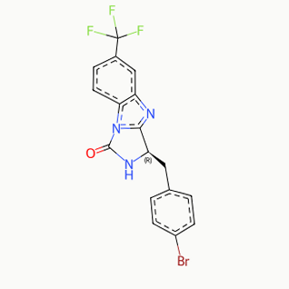 O=C1N[C@H](Cc2ccc(Br)cc2)c2nc3cc(C(F)(F)F)ccc3n21